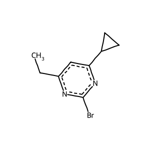 CCc1cc(C2CC2)nc(Br)n1